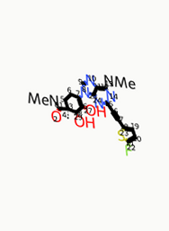 CNC(=O)[C@@]1(C)CCC(n2cnc3c(NC)nc(C#Cc4ccc(F)s4)nc32)=C(O)[C@@H]1O